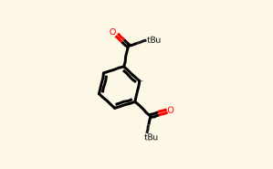 CC(C)(C)C(=O)c1[c]c(C(=O)C(C)(C)C)ccc1